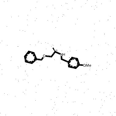 COc1ccc(CN[C@H](C)COCc2ccccc2)cc1